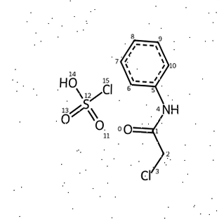 O=C(CCl)Nc1ccccc1.O=S(=O)(O)Cl